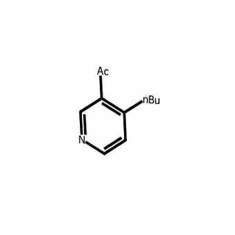 CCCCc1ccncc1C(C)=O